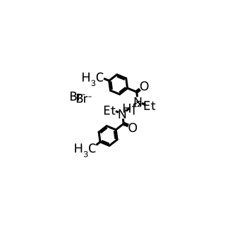 CC[N]([Hf+2][N](CC)C(=O)c1ccc(C)cc1)C(=O)c1ccc(C)cc1.[Br-].[Br-]